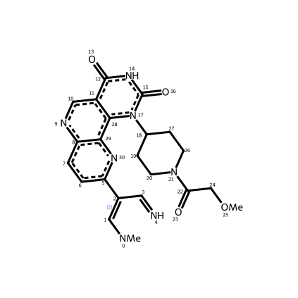 CN/C=C(\C=N)c1ccc2ncc3c(=O)[nH]c(=O)n(C4CCN(C(=O)COC)CC4)c3c2n1